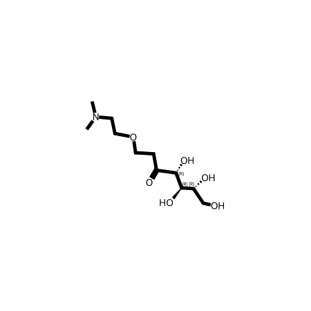 CN(C)CCOCCC(=O)[C@H](O)[C@H](O)[C@H](O)CO